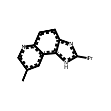 Cc1cnc2ccc3nc(C(C)C)[nH]c3c2c1